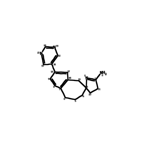 NC1=NC2(CCCc3ccc(-c4cncnc4)cc3C2)CC1